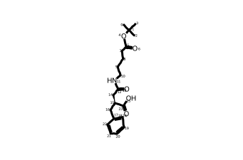 CC(C)(C)OC(=O)CCCCNC(=O)C[C@H](Cc1ccccc1)C(=O)O